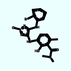 Cc1ccc(Nc2n[s+]([O-])nc2Nc2ccccc2Br)c(O)c1C(=O)N(C)C